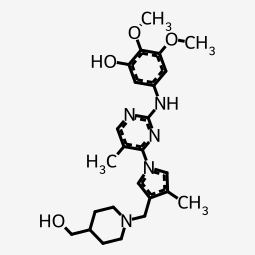 COc1cc(Nc2ncc(C)c(-n3cc(C)c(CN4CCC(CO)CC4)c3)n2)cc(O)c1OC